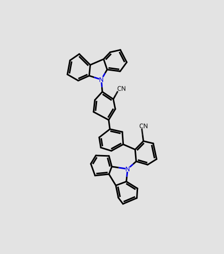 N#Cc1cc(-c2cccc(-c3c(C#N)cccc3-n3c4ccccc4c4ccccc43)c2)ccc1-n1c2ccccc2c2ccccc21